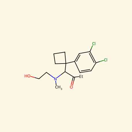 CCC(=O)C(N(C)CCO)C1(c2ccc(Cl)c(Cl)c2)CCC1